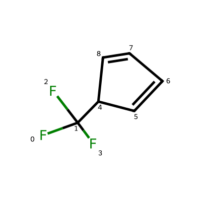 FC(F)(F)C1C=CC=C1